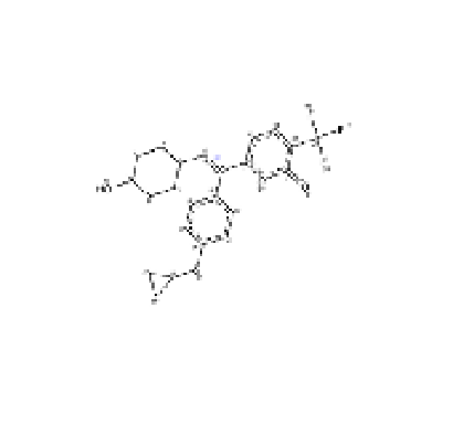 O=c1[nH]c(/C(=C/C2CCC(O)CC2)c2ccc(SC3CC3)cc2)ccc1C(F)(F)F